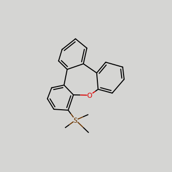 CS(C)(C)c1cccc2c1Oc1ccccc1-c1ccccc1-2